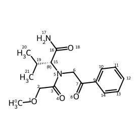 COCC(=O)N(CC(=O)c1ccccc1)[C@@H](C(N)=O)C(C)C